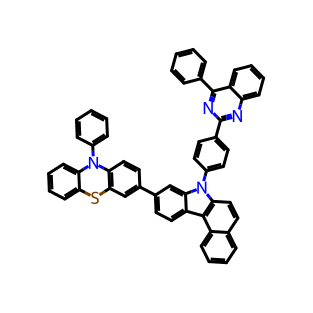 c1ccc(-c2nc(-c3ccc(-n4c5cc(-c6ccc7c(c6)Sc6ccccc6N7c6ccccc6)ccc5c5c6ccccc6ccc54)cc3)nc3ccccc23)cc1